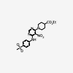 CCOC(=O)C1CCN(c2ncnc(Nc3ccc(S(C)(=O)=O)cc3)c2[N+](=O)[O-])CC1